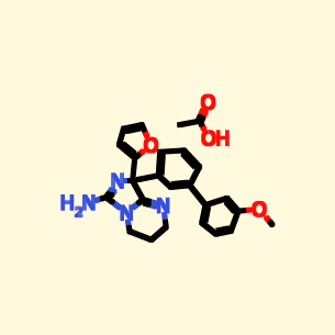 CC(=O)O.COc1cccc(-c2cccc(C3(c4ccco4)N=C(N)N4CCCN=C43)c2)c1